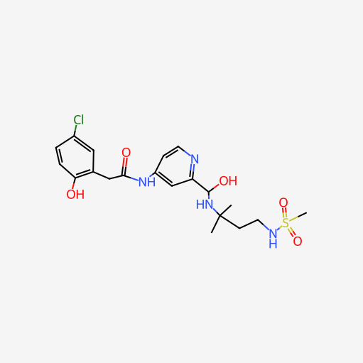 CC(C)(CCNS(C)(=O)=O)NC(O)c1cc(NC(=O)Cc2cc(Cl)ccc2O)ccn1